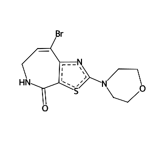 O=C1NCC=C(Br)c2nc(N3CCOCC3)sc21